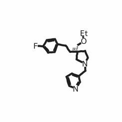 CCOC[C@]1(CCc2ccc(F)cc2)CCN(Cc2cccnc2)C1